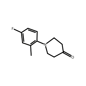 Cc1cc(F)ccc1N1CCC(=O)CC1